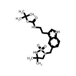 CC1(C)CN(Cc2ccc3[nH]cc(CCNC(=O)OC(C)(C)C)c3c2)S(=O)(=O)N1